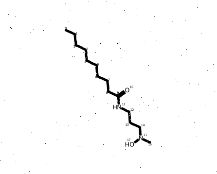 CCCCCCCCCC(=O)NCCCN(C)O